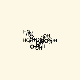 O=C(O)c1cc(S(=O)(=O)O)ccc1N=Nc1cc(C(O)c2ccccc2)c(O)c(N=Nc2ccc(S(=O)(=O)O)cc2C(=O)O)c1O